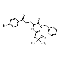 CC(C)(C)OC(=O)NC(COC(=O)c1ccc(Br)cc1)C(=O)OCc1ccccc1